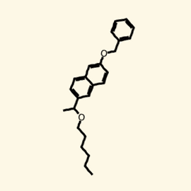 CCCCCCOC(C)c1ccc2cc(OCc3ccccc3)ccc2c1